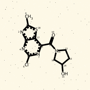 Cc1nc2nc(Cl)nc(C(=O)N3CCC(O)C3)c2s1